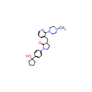 CN1CCN(c2ncccc2CC2CCN(c3ccc(C4(O)CCCC4)cc3)C2=O)CC1